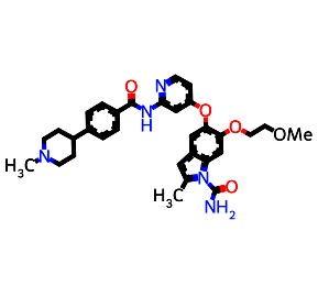 COCCOc1cc2c(cc1Oc1ccnc(NC(=O)c3ccc(C4CCN(C)CC4)cc3)c1)cc(C)n2C(N)=O